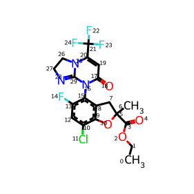 CCOC(=O)C1(C)Cc2c(c(Cl)cc(F)c2N2C(=O)C=C(C(F)(F)F)N3CCN=C32)O1